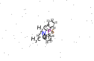 C=C(N(C)/C=C\C)P(=S)(c1ccccc1)c1ccccc1